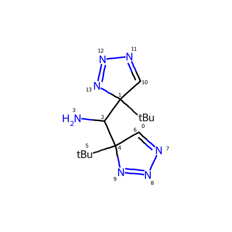 CC(C)(C)C1(C(N)C2(C(C)(C)C)C=NN=N2)C=NN=N1